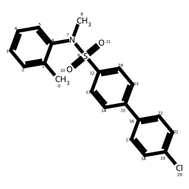 Cc1ccccc1N(C)S(=O)(=O)c1ccc(-c2ccc(Cl)cc2)cc1